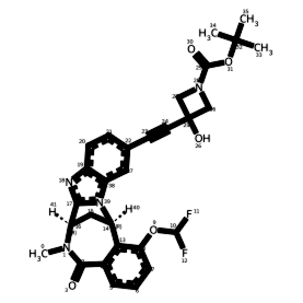 CN1C(=O)c2cccc(OC(F)F)c2[C@H]2C[C@@H]1c1nc3ccc(C#CC4(O)CN(C(=O)OC(C)(C)C)C4)cc3n12